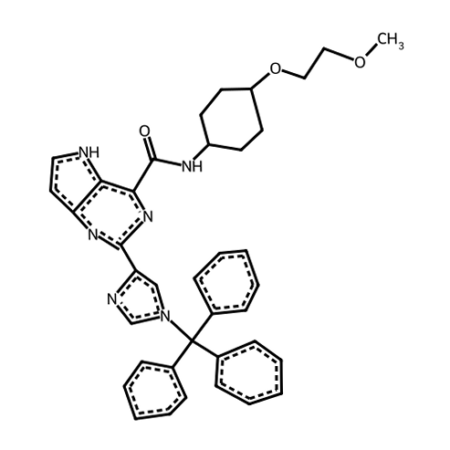 COCCOC1CCC(NC(=O)c2nc(-c3cn(C(c4ccccc4)(c4ccccc4)c4ccccc4)cn3)nc3cc[nH]c23)CC1